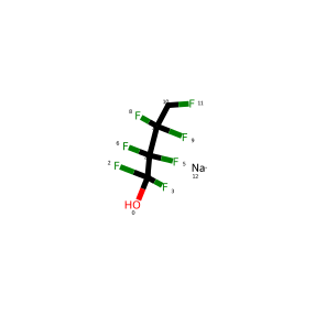 OC(F)(F)C(F)(F)C(F)(F)CF.[Na]